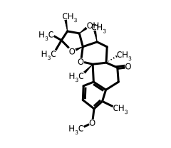 COc1ccc2c(c1C)CC(=O)[C@]1(C)C[C@H](C)[C@]3(OC(C)(C)[C@@H](C)[C@H]3O)O[C@@]21C